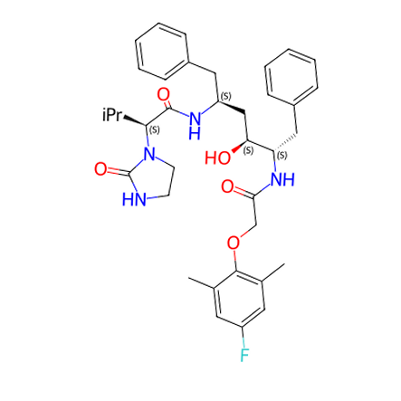 Cc1cc(F)cc(C)c1OCC(=O)N[C@@H](Cc1ccccc1)[C@@H](O)C[C@H](Cc1ccccc1)NC(=O)[C@H](C(C)C)N1CCNC1=O